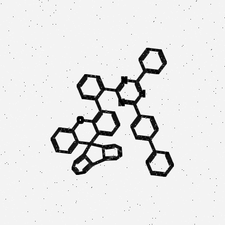 c1ccc(-c2ccc(-c3nc(-c4ccccc4)nc(-c4ccccc4-c4cccc5c4Oc4ccccc4C54c5ccccc5-c5ccccc54)n3)cc2)cc1